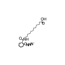 [N-]=[N+]=NOc1ccccc1C(=O)NCCCCCCCCCCCC(=O)O